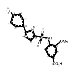 COc1cc(C(=O)O)ccc1NS(=O)(=O)c1csc(-c2ccc(C(F)(F)F)cc2)n1